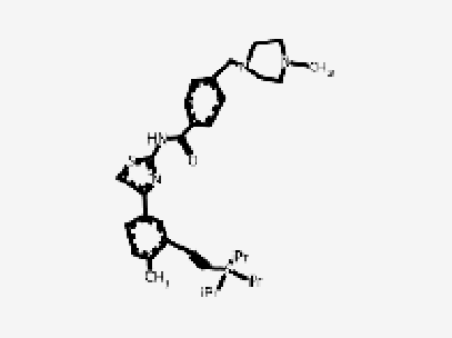 Cc1ccc(-c2csc(NC(=O)c3ccc(CN4CCN(C)CC4)cc3)n2)cc1C#CS(C(C)C)(C(C)C)C(C)C